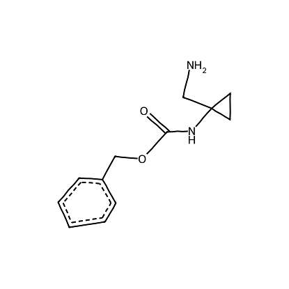 NCC1(NC(=O)OCc2ccccc2)CC1